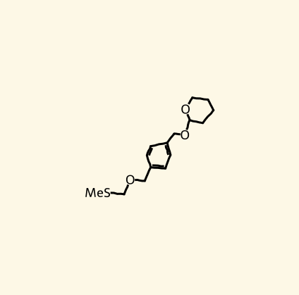 CSCOCc1ccc(COC2CCCCO2)cc1